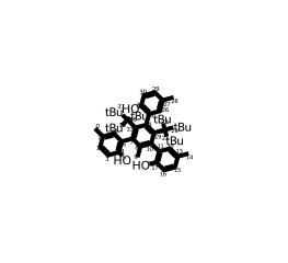 Cc1ccc(O)c(-c2c(C)c(-c3cc(C)ccc3O)c(C(C(C)(C)C)(C(C)(C)C)C(C)(C)C)c(-c3cc(C)ccc3O)c2C(C(C)(C)C)(C(C)(C)C)C(C)(C)C)c1